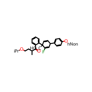 CCCCCCCCCOc1ccc(C2C=CC(C(=O)O)(c3ccccc3C(=O)C(C)CCOC(C)C)C(F)=C2)cc1